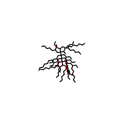 CCCCCCCCCC(CC)C(CC(CCC)CCCCC)(C(C)CC(CCC)CCCCC)C(CC(CC)CCCCCCCC)(CC(CCC)CCCCC)C(CCC(CC)CCCCCCC)(CC(CCC)CCCCC)C(CCC)(CCCC(CC)CCCCCC)[C](CC(CCC)CCCCC)C(CCCC)CCCCCCC